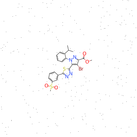 COC(=O)c1nn(-c2ccccc2C(C)C)c(-c2nnc(-c3cccc(S(C)(=O)=O)c3)s2)c1Br